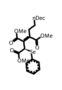 CCCCCCCCCCCC/C(C(=O)OC)=C(\C(=O)OC)[C@@H]([Se]c1ccccc1)C(=O)OC